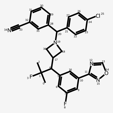 CC(C)(F)C(c1cc(F)cc(-c2ncon2)c1)C1CN(C(c2ccc(Cl)cc2)c2cccc(C#N)c2)C1